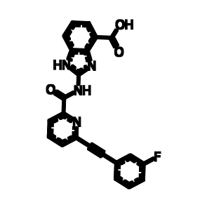 O=C(Nc1nc2c(C(=O)O)cccc2[nH]1)c1cccc(C#Cc2cccc(F)c2)n1